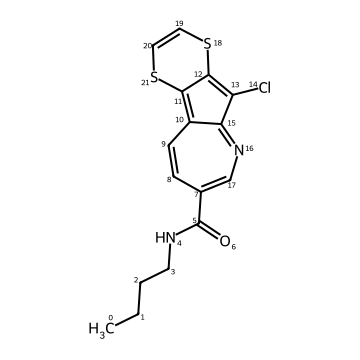 CCCCNC(=O)c1ccc2c3c(c(Cl)c-2nc1)SC=CS3